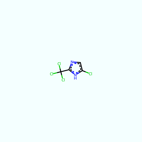 Clc1cnc(C(Cl)(Cl)Cl)[nH]1